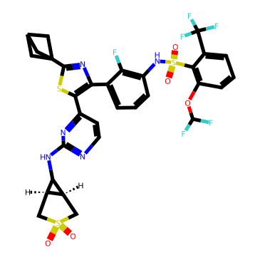 O=S1(=O)C[C@@H]2C(Nc3nccc(-c4sc(C56CC(C5)C6)nc4-c4cccc(NS(=O)(=O)c5c(OC(F)F)cccc5C(F)(F)F)c4F)n3)[C@@H]2C1